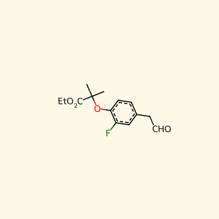 CCOC(=O)C(C)(C)Oc1ccc(CC=O)cc1F